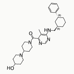 Cc1c(NC[C@@H]2CCC[C@@H](c3ccccc3)C2)ncnc1C(=O)N1CCC(N2CCC(O)CC2)CC1